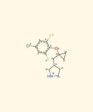 Fc1cc(Cl)cc(F)c1OC1(CC2CCNC2)CC1